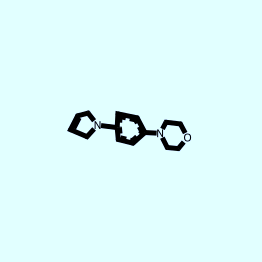 C1=CCN(c2ccc(N3CCOCC3)cc2)C1